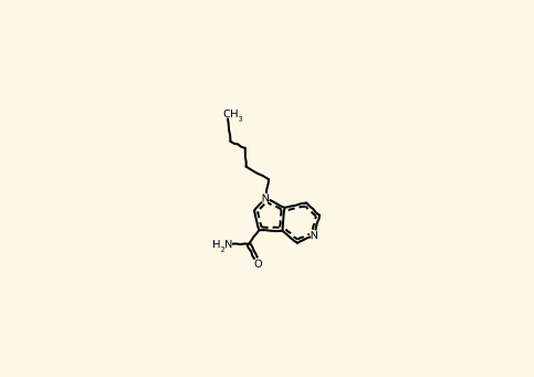 CCCCCn1cc(C(N)=O)c2cnccc21